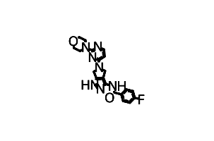 O=C(Nc1n[nH]c2c1CN(c1ccnc(N3CCOCC3)n1)C2)c1ccc(F)cc1